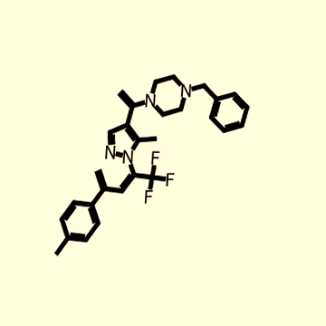 C=C(/C=C(\n1ncc(C(=C)N2CCN(Cc3ccccc3)CC2)c1C)C(F)(F)F)c1ccc(C)cc1